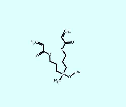 C=CC(=O)OCCC[Si](C)(CCCOC(=O)C=C)OCCC